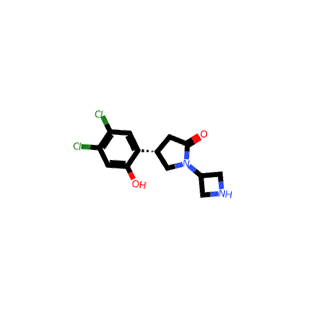 O=C1C[C@@H](c2cc(Cl)c(Cl)cc2O)CN1C1CNC1